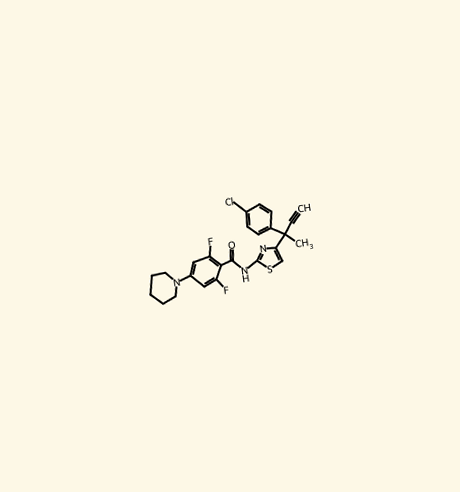 C#CC(C)(c1ccc(Cl)cc1)c1csc(NC(=O)c2c(F)cc(N3CCCCC3)cc2F)n1